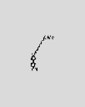 COCCCCCCCCCCOc1ccc(-c2ccc(C#N)cc2)cc1